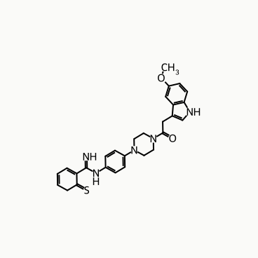 COc1ccc2[nH]cc(CC(=O)N3CCN(c4ccc(NC(=N)C5=CC=CCC5=S)cc4)CC3)c2c1